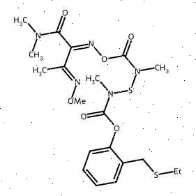 CCSCc1ccccc1OC(=O)N(C)SN(C)C(=O)ON=C(C(=O)N(C)C)C(C)=NOC